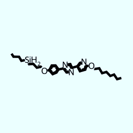 CCCCCCCCOc1ccc(-c2cnc(-c3ccc(OCCCC[SiH2]CCCC)cc3)cn2)cn1